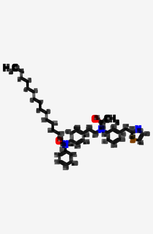 CCCCCCCCCCCCCCON(c1ccccc1)c1ccc(CCN(C(C)=O)c2cccc(Cc3nccs3)c2)cc1